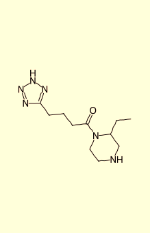 CCC1CNCCN1C(=O)CCCc1nn[nH]n1